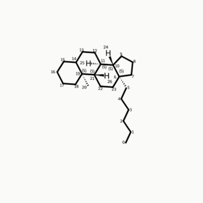 CCCCCC[C@@]12CCC[C@H]1[C@@H]1CCC3CCCC[C@]3(C)[C@H]1CC2